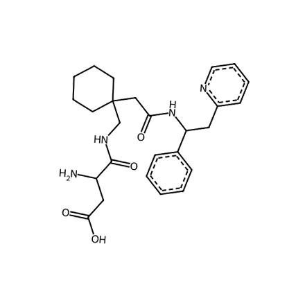 NC(CC(=O)O)C(=O)NCC1(CC(=O)NC(Cc2ccccn2)c2ccccc2)CCCCC1